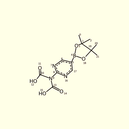 CC1(C)OB(c2cnc(N(C(=O)O)C(=O)O)nc2)OC1(C)C